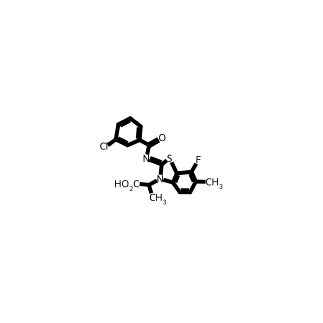 Cc1ccc2c(sc(=NC(=O)c3cccc(Cl)c3)n2C(C)C(=O)O)c1F